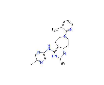 Cc1cnc(NC2=C3CCN(c4ncccc4C(F)(F)F)CCC3=NC(C(C)C)N2)cn1